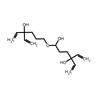 C=CC(O)(C=C)CCCOC(O)CCC(O)(C=C)C=C